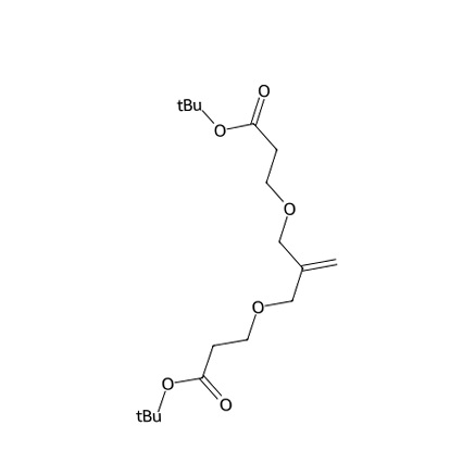 C=C(COCCC(=O)OC(C)(C)C)COCCC(=O)OC(C)(C)C